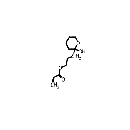 C=CC(=O)OCC[SiH2]C1(O)CCCCO1